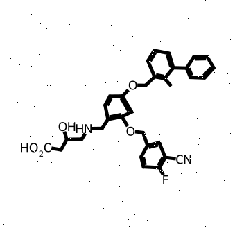 Cc1c(COc2ccc(CNCC(O)CC(=O)O)c(OCc3ccc(F)c(C#N)c3)c2)cccc1-c1ccccc1